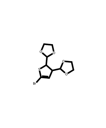 BrC1=CC(C2OCCO2)C(C2OCCO2)S1